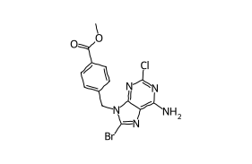 COC(=O)c1ccc(Cn2c(Br)nc3c(N)nc(Cl)nc32)cc1